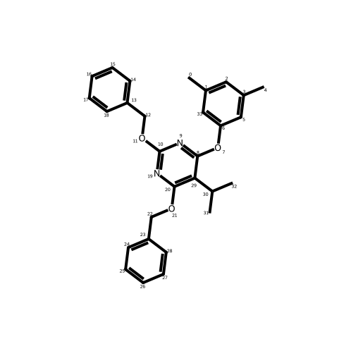 Cc1cc(C)cc(Oc2nc(OCc3ccccc3)nc(OCc3ccccc3)c2C(C)C)c1